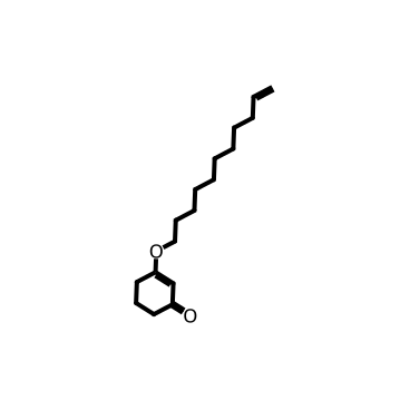 C=CCCCCCCCCCOC1=CC(=O)CCC1